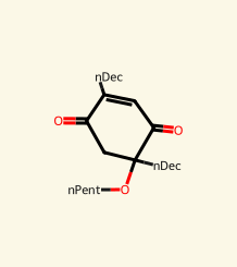 CCCCCCCCCCC1=CC(=O)C(CCCCCCCCCC)(OCCCCC)CC1=O